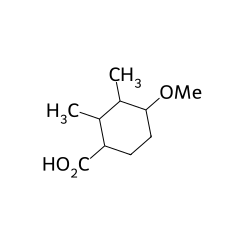 COC1CCC(C(=O)O)C(C)C1C